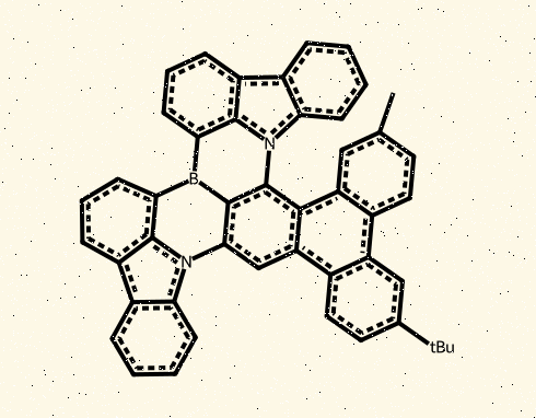 Cc1ccc2c3cc(C(C)(C)C)ccc3c3cc4c5c(c3c2c1)-n1c2ccccc2c2cccc(c21)B5c1cccc2c3ccccc3n-4c12